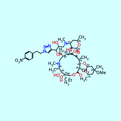 CC[C@H]1OC(=O)[C@H](C)[C@@H](O[C@H]2C[C@@](C)(OC)C[C@H](C)O2)[C@H](C)[C@@H](O[C@@H]2O[C@H](C)C[C@H](N(C)CC(O)C(O)c3cn(CCc4ccc([N+](=O)[O-])cc4)nn3)[C@H]2O)[C@](C)(O)C[C@@H](C)CN(C)[C@H](C)[C@@H](O)[C@]1(C)O